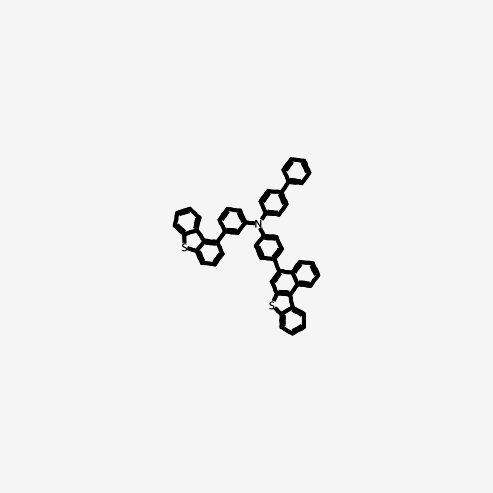 c1ccc(-c2ccc(N(c3ccc(-c4cc5sc6ccccc6c5c5ccccc45)cc3)c3cccc(-c4cccc5sc6ccccc6c45)c3)cc2)cc1